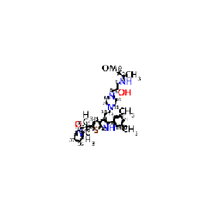 COCC(C)NCC(O)CN1CCN(CCc2c(-c3cc(C)cc(C)c3)[nH]c3sc(C(C)(C)C(=O)N4C5CCC4CC5)cc23)CC1